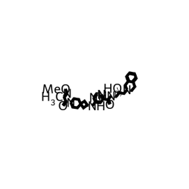 CON=C(C)C(=O)N1CCC2(CC1)CC(Nc1cc(C(=O)NC[C@H](O)CN3CCc4ccccc4C3)ncn1)C2